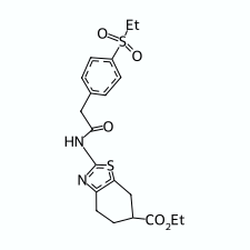 CCOC(=O)C1CCc2nc(NC(=O)Cc3ccc(S(=O)(=O)CC)cc3)sc2C1